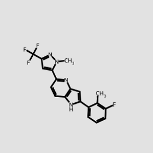 Cc1c(F)cccc1-c1cc2nc(-c3cc(C(F)(F)F)nn3C)ccc2[nH]1